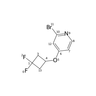 FC1(F)CC(Oc2ccnc(Br)c2)C1